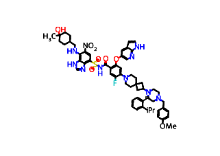 COc1ccc(CN2CCN(C3CC4(CCN(c5cc(Oc6cnc7[nH]ccc7c6)c(C(=O)NS(=O)(=O)c6cc([N+](=O)[O-])c(NCC7CCC(C)(O)CC7)c7[nH]cnc67)cc5F)CC4)C3)[C@H](c3ccccc3C(C)C)C2)cc1